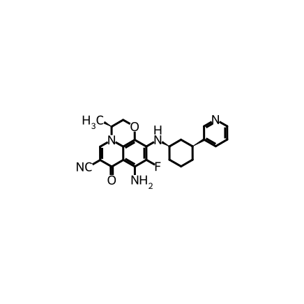 C[C@H]1COc2c(N[C@@H]3CCC[C@H](c4cccnc4)C3)c(F)c(N)c3c(=O)c(C#N)cn1c23